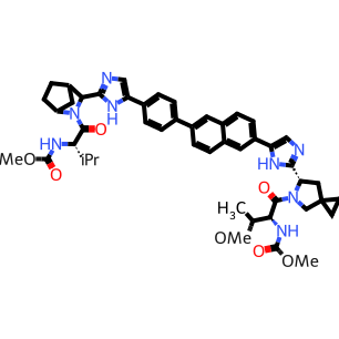 COC(=O)N[C@H](C(=O)N1C2CCC(C2)C1c1ncc(-c2ccc(-c3ccc4cc(-c5cnc([C@@H]6CC7(CC7)CN6C(=O)[C@@H](NC(=O)OC)C(C)OC)[nH]5)ccc4c3)cc2)[nH]1)C(C)C